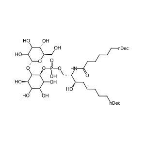 CCCCCCCCCCCCCCCC(=O)N[C@@H](COP(=O)(O)O[C@H]1C(O)C(O)C(O)[C@@H](O)C1O[C@H]1O[C@H](CO)[C@@H](O)C(O)C1O)[C@H](O)CCCCCCCCCCCCCCC